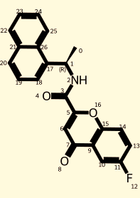 C[C@@H](NC(=O)c1cc(=O)c2cc(F)ccc2o1)c1cccc2ccccc12